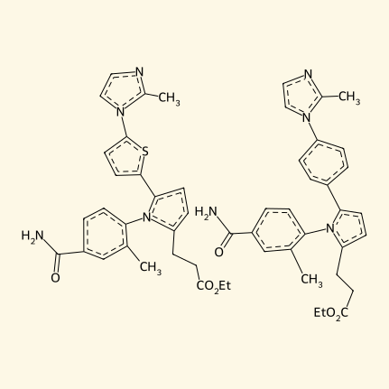 CCOC(=O)CCc1ccc(-c2ccc(-n3ccnc3C)cc2)n1-c1ccc(C(N)=O)cc1C.CCOC(=O)CCc1ccc(-c2ccc(-n3ccnc3C)s2)n1-c1ccc(C(N)=O)cc1C